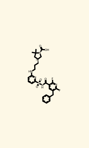 CC1(C)C[C@H](CCCNc2cccc(S(=O)(=O)NC(=O)c3cc(Cc4ccccc4)c(F)nc3F)n2)CN1C(=O)O